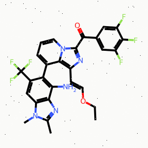 CCOC=Cc1nc(C(=O)c2cc(F)c(F)c(F)c2)n2cccc(-c3c(C(F)(F)F)cc4c(nc(C)n4C)c3N)c12